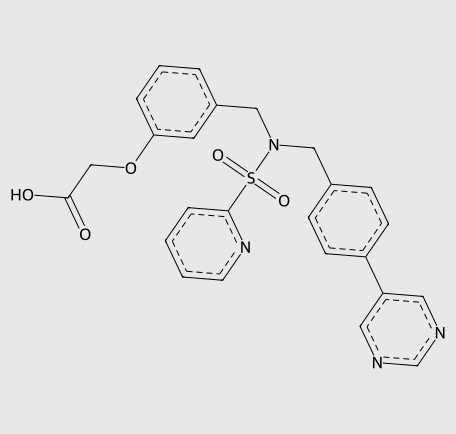 O=C(O)COc1cccc(CN(Cc2ccc(-c3cncnc3)cc2)S(=O)(=O)c2ccccn2)c1